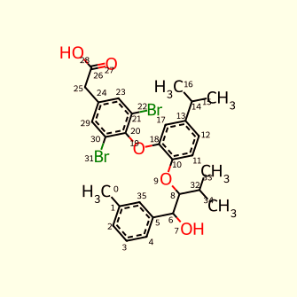 Cc1cccc(C(O)C(Oc2ccc(C(C)C)cc2Oc2c(Br)cc(CC(=O)O)cc2Br)C(C)C)c1